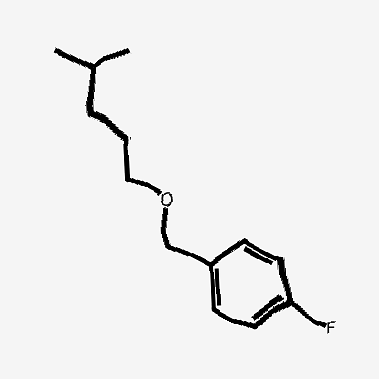 CC(C)C[CH]COCc1ccc(F)cc1